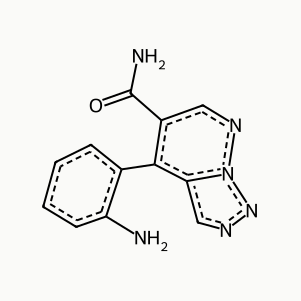 NC(=O)c1cnn2nncc2c1-c1ccccc1N